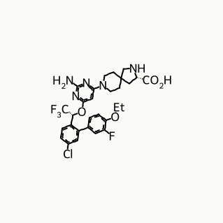 CCOc1ccc(-c2cc(Cl)ccc2[C@@H](Oc2cc(N3CCC4(CC3)CN[C@H](C(=O)O)C4)nc(N)n2)C(F)(F)F)cc1F